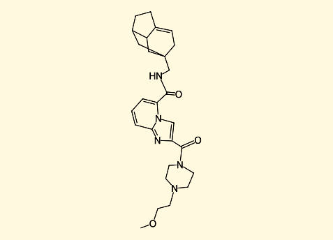 COCCN1CCN(C(=O)c2cn3c(C(=O)NCC45CC=C6CCC(C4)C6C5)cccc3n2)CC1